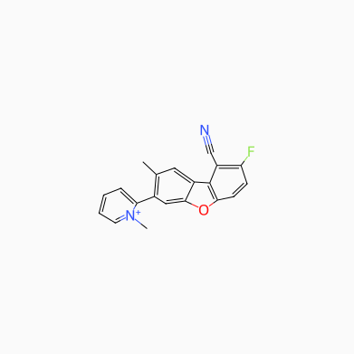 Cc1cc2c(cc1-c1cccc[n+]1C)oc1ccc(F)c(C#N)c12